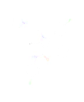 CC(C)c1c(C(=O)Nc2ccc(F)cc2)c(-c2ccccc2)c(-c2ccc(F)cc2)n1CCCN1CCCC1